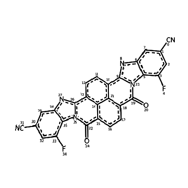 N#Cc1cc(F)c2c(c1)nc1c3ccc4c5c(ccc(c(=O)n12)c35)c(=O)n1c4nc2cc(C#N)cc(F)c21